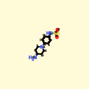 NC1CCN(c2ccc(N[SH](=O)=O)cc2)CC1